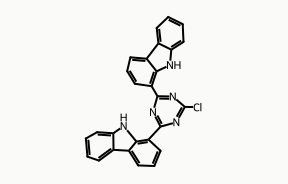 Clc1nc(-c2cccc3c2[nH]c2ccccc23)nc(-c2cccc3c2[nH]c2ccccc23)n1